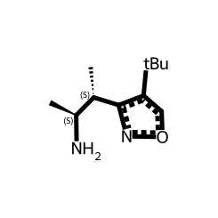 C[C@H](N)[C@H](C)c1nocc1C(C)(C)C